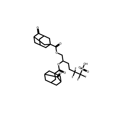 O=C1C2CC3CC1CC(C(=O)OCC(CCC(F)(F)C(F)(F)S(=O)(=O)O)OC(=O)C14CC5CC(C1)C(=O)C(C5)C4)(C3)C2